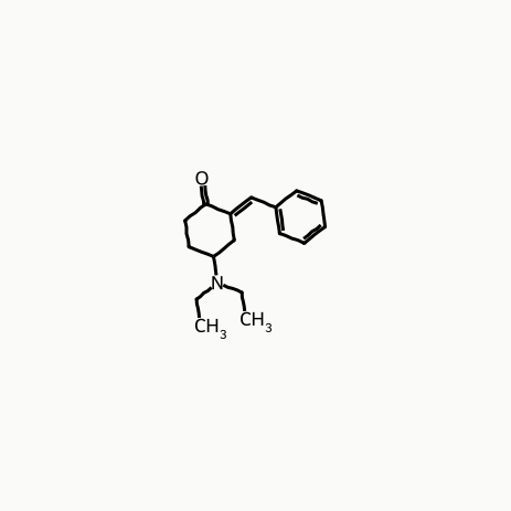 CCN(CC)C1CCC(=O)C(=Cc2ccccc2)C1